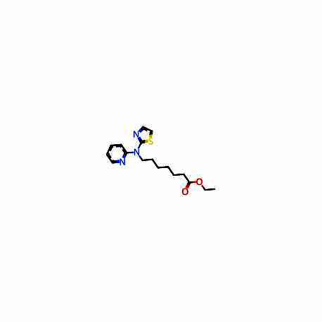 CCOC(=O)CCCCCCN(c1ccccn1)c1nccs1